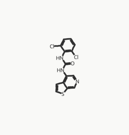 O=C(Nc1c(Cl)cccc1Cl)Nc1cncc2sccc12